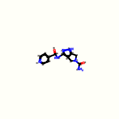 NC(=O)N1Cc2[nH]nc(NC(=O)c3ccncc3)c2C1